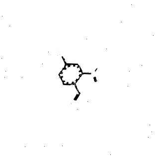 [CH]=Cc1ccc(Br)cc1[N+](=O)[O-]